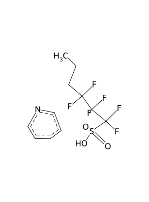 CCCC(F)(F)C(F)(F)C(F)(F)S(=O)(=O)O.c1ccncc1